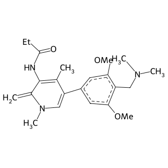 C=C1C(NC(=O)CC)=C(C)C(c2cc(OC)c(CN(C)C)c(OC)c2)=CN1C